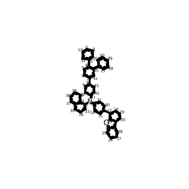 c1ccc(-c2ccc(-c3ccc(N(c4ccc(-c5cccc6c5oc5ccccc56)cc4)c4cccc5ccccc45)cc3)cc2-c2ccccc2)cc1